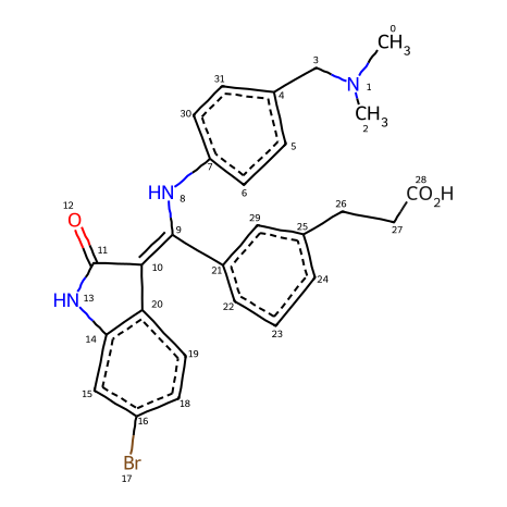 CN(C)Cc1ccc(N/C(=C2\C(=O)Nc3cc(Br)ccc32)c2cccc(CCC(=O)O)c2)cc1